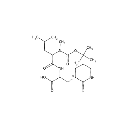 CC(C)CC(C(=O)NC(C[C@@H]1CCCNC1=O)C(=O)O)N(C)C(=O)OC(C)(C)C